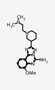 COc1cccc2c1nc(N)n1nc(C3CCCN(CCN(C)C)C3)nc21